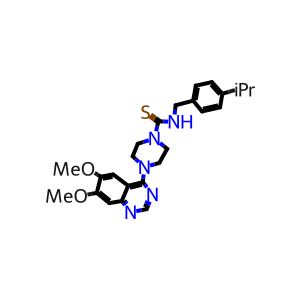 COc1cc2ncnc(N3CCN(C(=S)NCc4ccc(C(C)C)cc4)CC3)c2cc1OC